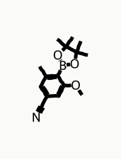 COc1cc(C#N)cc(C)c1B1OC(C)(C)C(C)(C)O1